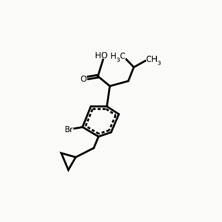 CC(C)CC(C(=O)O)c1ccc(CC2CC2)c(Br)c1